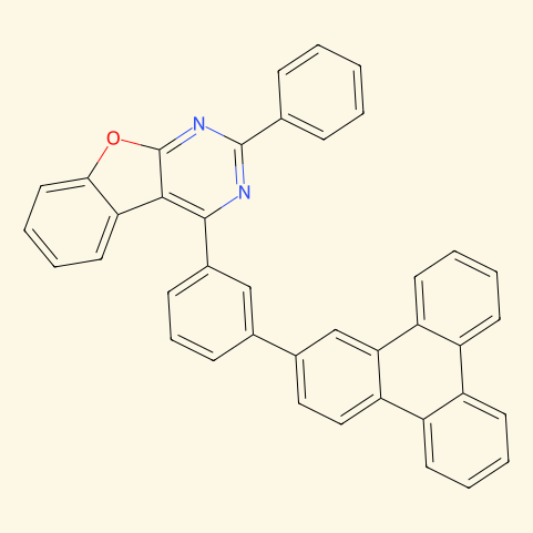 c1ccc(-c2nc(-c3cccc(-c4ccc5c6ccccc6c6ccccc6c5c4)c3)c3c(n2)oc2ccccc23)cc1